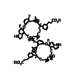 CCOC(=O)CCc1cccc(C2(C)CCCC3(CC3)CS(=O)(=O)CCc3c(c(F)cc4[nH]ccc34)Oc3ccc(F)c(c3)-c3nc2nn3C)c1.Cn1nc2nc1-c1cc(ccc1F)Oc1c(F)cc3[nH]ccc3c1CCS(=O)(=O)CC1(CCCC2(C)c2cccc(CCC(=O)O)c2)CC1